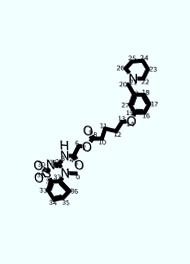 CN1C(NC(=O)COC(=O)CCCCOc2cccc(CN3CCCCC3)c2)=NS(=O)(=O)c2ccccc21